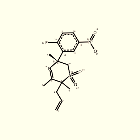 C=CCC1(C)C(C)=N[C@](C)(c2cc([N+](=O)[O-])ccc2F)CS1(=O)=O